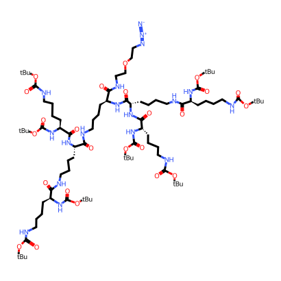 CC(C)(C)OC(=O)NCCCC[C@H](NC(=O)OC(C)(C)C)C(=O)NCCCC[C@H](NC(=O)[C@H](CCCCNC(=O)OC(C)(C)C)NC(=O)OC(C)(C)C)C(=O)NCCCC[C@H](NC(=O)[C@H](CCCCNC(=O)[C@H](CCCCNC(=O)OC(C)(C)C)NC(=O)OC(C)(C)C)NC(=O)[C@H](CCCCNC(=O)OC(C)(C)C)NC(=O)OC(C)(C)C)C(=O)NCCOCCN=[N+]=[N-]